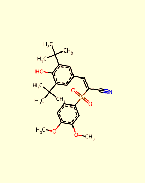 COc1ccc(S(=O)(=O)/C(C#N)=C\c2cc(C(C)(C)C)c(O)c(C(C)(C)C)c2)cc1OC